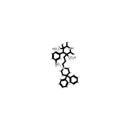 CC1NC(C)C(CCCN2CCC(c3ccccc3)(c3ccccc3)CC2)(C(=O)O)C(c2cccc([N+](=O)[O-])c2)C1(C)C(=O)O